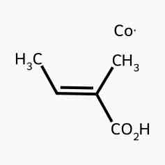 CC=C(C)C(=O)O.[Co]